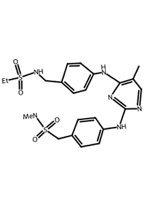 CCS(=O)(=O)NCc1ccc(Nc2nc(Nc3ccc(CS(=O)(=O)NC)cc3)ncc2C)cc1